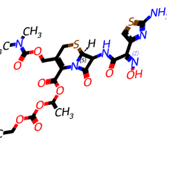 CCOC(=O)OC(C)OC(=O)C1=C(COC(=O)N(C)C)CS[C@H]2C(NC(=O)/C(=N\O)c3csc(N)n3)C(=O)N12